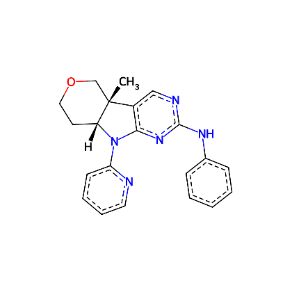 C[C@]12COCC[C@H]1N(c1ccccn1)c1nc(Nc3ccccc3)ncc12